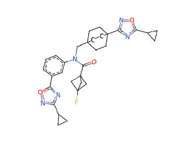 O=C(N(CC12CCC(c3noc(C4CC4)n3)(CC1)CC2)c1cccc(-c2nc(C3CC3)no2)c1)C12CC(F)(C1)C2